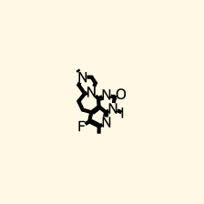 Cc1nc2c3c(nc(=O)n2I)N2CCN(C)CC2CCc3c1F